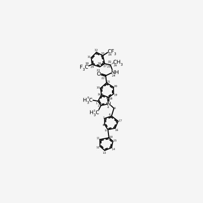 Cc1c(C)n(Cc2ccc(-c3ccccc3)cc2)c2ccc(C(=O)N[C@@H](C)c3cc(C(F)(F)F)ccc3C(F)(F)F)cc12